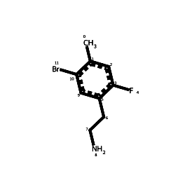 Cc1cc(F)c(CCN)cc1Br